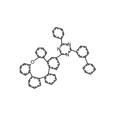 c1ccc(-c2cccc(-c3nc(-c4ccccc4)nc(-c4ccc5c(c4)-c4ccccc4Oc4ccccc4-c4ccccc4-c4ccccc4-5)n3)c2)cc1